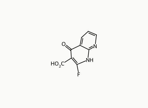 O=C(O)c1c(F)[nH]c2ncccc2c1=O